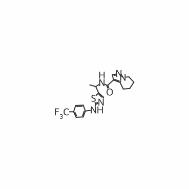 CC(NC(=O)c1cnn2c1CCCC2)c1cnc(Nc2ccc(C(F)(F)F)cc2)s1